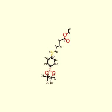 CCOC(=O)CCCCSc1ccc(B2OC(C)(C)C(C)(C)O2)cc1